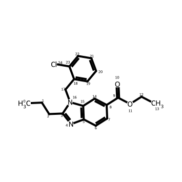 CCCc1nc2ccc(C(=O)OCC)cc2n1Cc1ccccc1Cl